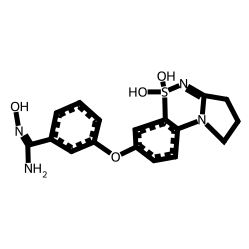 N/C(=N/O)c1cccc(Oc2ccc3c(c2)S(O)(O)N=C2CCCN23)c1